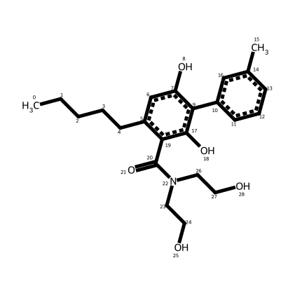 CCCCCc1cc(O)c(-c2cccc(C)c2)c(O)c1C(=O)N(CCO)CCO